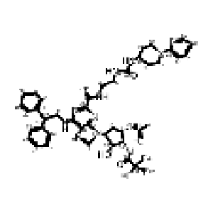 CC(=O)N[C@H]1C[C@@H](n2cnc3c(NCC(c4ccccc4)c4ccccc4)nc(C(=O)NCCNC(=O)NC4CCN(c5ccccn5)CC4)nc32)[C@H](O)[C@@H]1OC(=O)C(F)(F)F